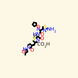 Cc1cc(N2CCC(=CC3=C(C(=O)O)N4C(=O)[C@@H](NC(=O)C(=NOC5CCCC5)c5csc(N)n5)[C@H]4SC3)C2=O)no1